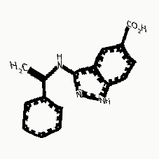 C=C(Nc1n[nH]c2ccc(C(=O)O)cc12)c1ccccc1